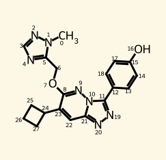 Cn1ncnc1COc1nn2c(-c3ccc(O)cc3)nnc2cc1C1CCC1